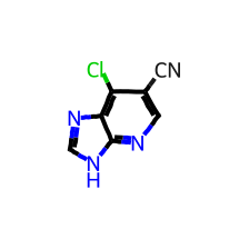 N#Cc1cnc2[nH]cnc2c1Cl